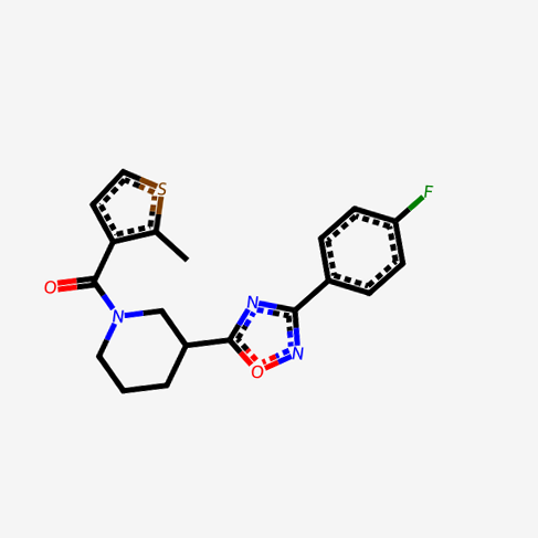 Cc1sccc1C(=O)N1CCCC(c2nc(-c3ccc(F)cc3)no2)C1